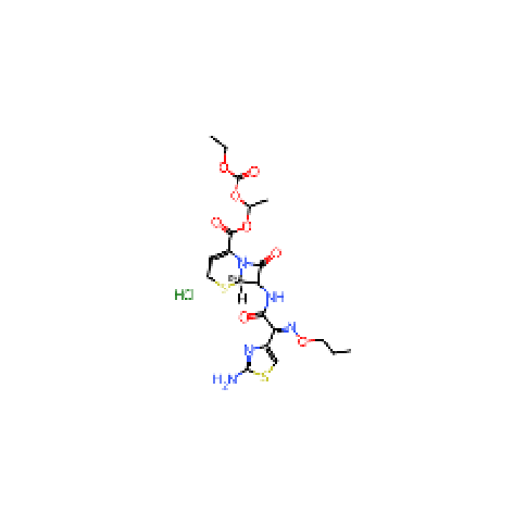 CCCON=C(C(=O)NC1C(=O)N2C(C(=O)OC(C)OC(=O)OCC)=CCS[C@@H]12)c1csc(N)n1.Cl